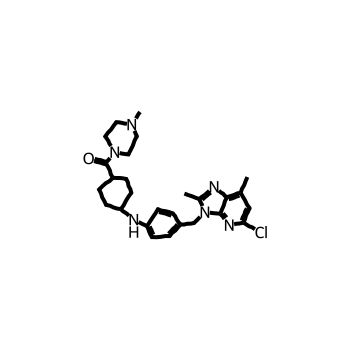 Cc1cc(Cl)nc2c1nc(C)n2Cc1ccc(NC2CCC(C(=O)N3CCN(C)CC3)CC2)cc1